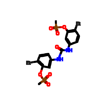 CCc1ccc(NC(=O)Nc2ccc(CC)c(OS(C)(=O)=O)c2)cc1OS(C)(=O)=O